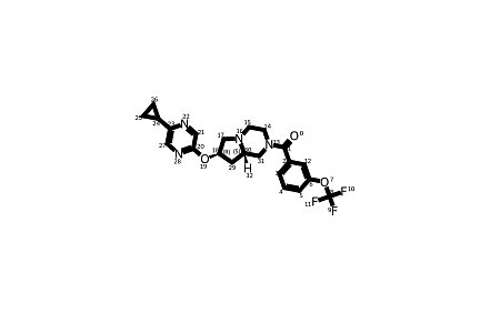 O=C(c1cccc(OC(F)(F)F)c1)N1CCN2C[C@H](Oc3cnc(C4CC4)cn3)C[C@H]2C1